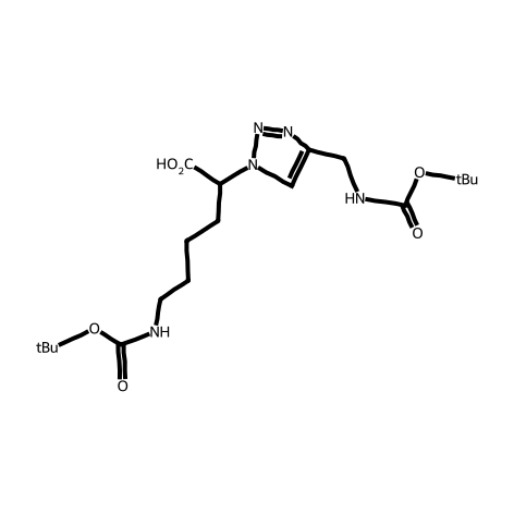 CC(C)(C)OC(=O)NCCCCC(C(=O)O)n1cc(CNC(=O)OC(C)(C)C)nn1